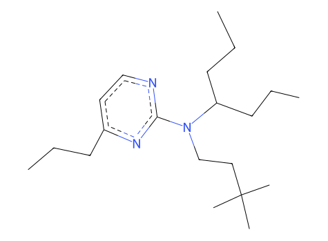 CCCc1ccnc(N(CCC(C)(C)C)C(CCC)CCC)n1